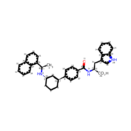 C[C@@H](N[C@H]1CCC[C@H](c2ccc(C(=O)N[C@@H](Cc3c[nH]c4ccccc34)C(=O)O)cc2)C1)c1cccc2ccccc12